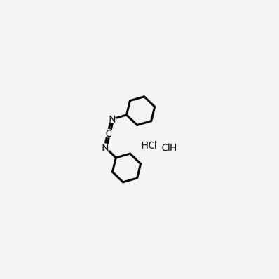 C(=NC1CCCCC1)=NC1CCCCC1.Cl.Cl